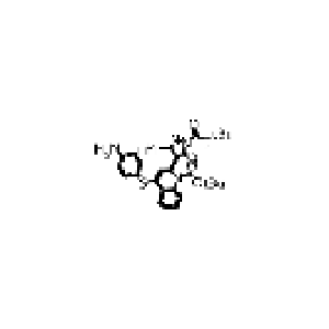 CCCC1=NN(C(=O)OC(C)(C)C)C(=O)/C1=C1/C=C(Sc2ccc(N)cc2)c2ccccc2N1C(=O)OC(C)(C)C